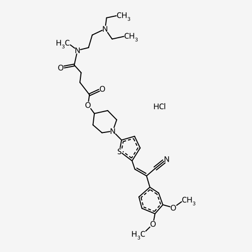 CCN(CC)CCN(C)C(=O)CCC(=O)OC1CCN(c2ccc(/C=C(\C#N)c3ccc(OC)c(OC)c3)s2)CC1.Cl